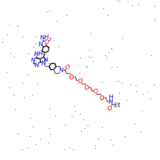 CCC(=O)NCCOCCOCCOCCOCCOCCC(=O)N1CCc2cc(Cn3nc(-c4ccc5oc(N)nc5c4)c4c(N)ncnc43)ccc2C1